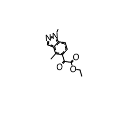 CCOC(=O)C(=O)c1ccc2c(cnn2C)c1C